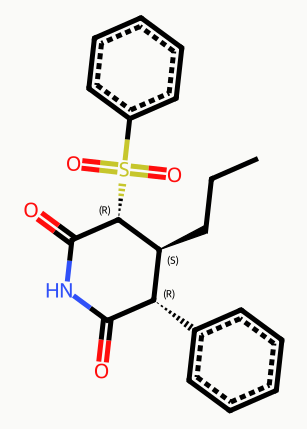 CCC[C@H]1[C@H](c2ccccc2)C(=O)NC(=O)[C@@H]1S(=O)(=O)c1ccccc1